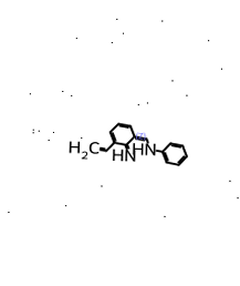 C=CC1=CC=C/C(=C/Nc2ccccc2)C1=N